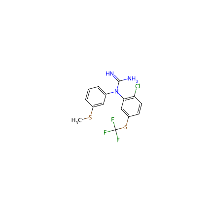 CSc1cccc(N(C(=N)N)c2cc(SC(F)(F)F)ccc2Cl)c1